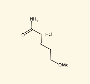 COCCSCC(N)=O.Cl